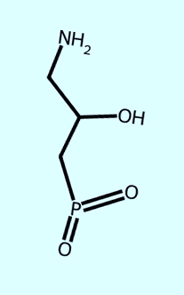 NCC(O)CP(=O)=O